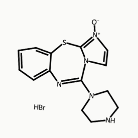 Br.[O-][n+]1ccn2c1Sc1ccccc1N=C2N1CCNCC1